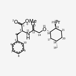 COC(=O)[C@H](Cc1ccccc1)NC(=O)CO[C@H]1C[C@@H](C)CC[C@@H]1C(C)C